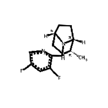 C[C@@H]1NC[C@@H]2CC[C@H]1N2Cc1ncc(F)cc1F